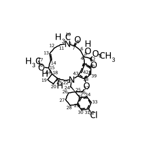 COC(=O)[C@]1(O)CC(=O)N(C)CC/C=C/C(OC)[C@@H]2CC[C@H]2CN2C[C@@]3(CCCc4cc(Cl)ccc43)COc3ccc1cc32